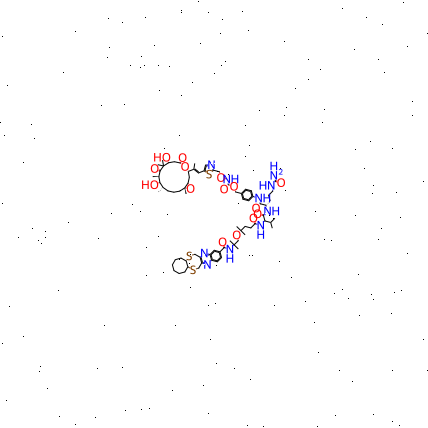 CC(=Cc1cnc(CONC(=O)OCc2ccc(NC(=O)[C@H](CCCNC(N)=O)NC(=O)[C@@H](NC(=O)CCC(C)(C)OCC(C)(C)NC(=O)c3ccc4nc5c(nc4c3)CSC3CCCCCCC3SC5)C(C)C)cc2)s1)C1CC2O[C@]2(C)CCC[C@H](C)C(O)[C@@H](C)C(=O)C(C)(C)[C@@H](O)CC(=O)O1